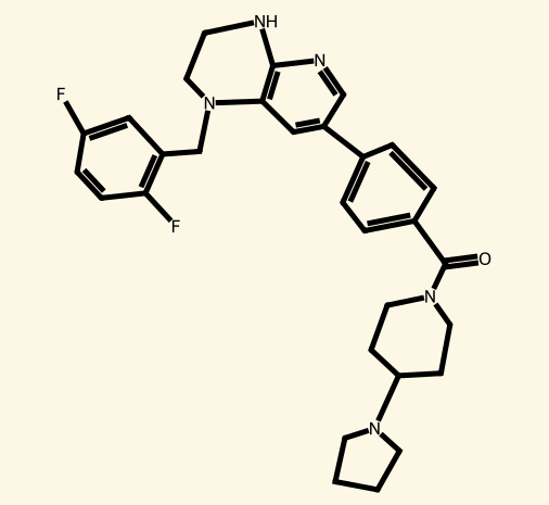 O=C(c1ccc(-c2cnc3c(c2)N(Cc2cc(F)ccc2F)CCN3)cc1)N1CCC(N2CCCC2)CC1